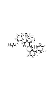 CCc1cccc2c1-c1ccc(Nc3ccccc3-c3ccccc3)cc1C2(C)C